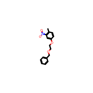 Cc1ccc(OCCOCc2ccccc2)cc1[N+](=O)[O-]